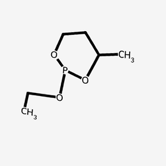 CCOP1OCCC(C)O1